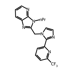 CCCn1c(Cn2ccnc2-c2cccc(C(F)(F)F)n2)nc2cccnc21